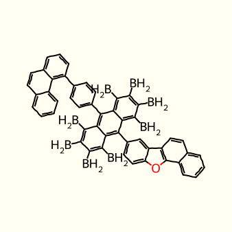 Bc1c(B)c(B)c2c(-c3ccc4oc5c6ccccc6ccc5c4c3)c3c(B)c(B)c(B)c(B)c3c(-c3ccc(-c4cccc5ccc6ccccc6c45)cc3)c2c1B